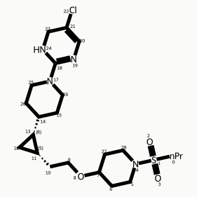 CCCS(=O)(=O)N1CCC(OCC[C@@H]2C[C@@H]2C2CCN(C3=NC=C(Cl)CN3)CC2)CC1